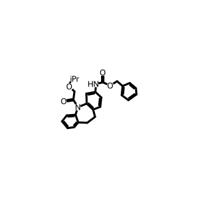 CC(C)OCC(=O)N1c2ccccc2CCc2ccc(NC(=O)OCc3ccccc3)cc21